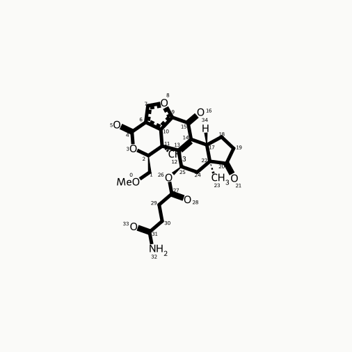 COC[C@H]1OC(=O)c2coc3c2[C@@]1(C)C1=C(C3=O)[C@@H]2CCC(=O)[C@@]2(C)C[C@H]1OC(=O)CCC(N)=O